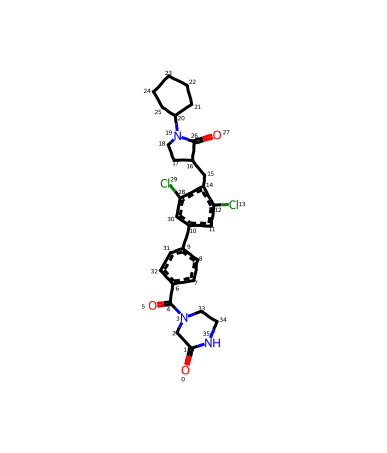 O=C1CN(C(=O)c2ccc(-c3cc(Cl)c(CC4CCN(C5CCCCC5)C4=O)c(Cl)c3)cc2)CCN1